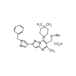 Cc1nc2cc(-c3cnn(Cc4ccccc4)c3)nn2c(N2CCC(C)(C)CC2)c1[C@H](OC(C)(C)C)C(=O)O